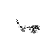 O=C(O)CN(CC(=O)NCCCCCC(=O)NCCO[C@@H]1O[C@H](CO[C@H]2O[C@H](CO)[C@@H](O)[C@H](O)[C@@H]2O)[C@@H](O)[C@H](O[C@H]2O[C@H](CO)[C@@H](O)[C@H](O)[C@@H]2O)[C@@H]1O)CC(=O)NCCCCCC(=O)OCc1ccccc1